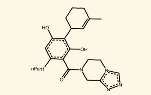 CCCCCc1cc(O)c(C2C=C(C)CCC2)c(O)c1C(=O)N1CCn2cnnc2C1